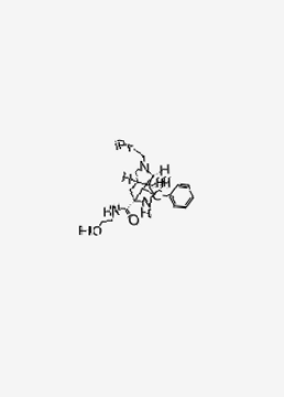 CC(C)CN1C[C@H]2C[C@]3(C(=O)NCCO)NC[C@H]2[C@H]1[C@H]3Cc1ccccc1